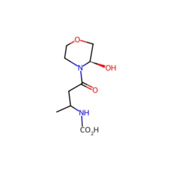 CC(CC(=O)N1CCOC[C@H]1O)NC(=O)O